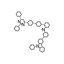 CN(c1cccc(-c2ccc3c(c2)c2ccccc2n3-c2ccccc2)c1)c1ccccc1-c1ccc(-c2ccc(-c3cc(-c4ccccc4)nc(-c4ccccc4)n3)cc2)cc1